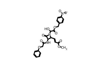 COC(=O)C=CC1C(NC(=O)COc2ccccc2)C(=O)N1C(O)C(=O)OCc1ccc([N+](=O)[O-])cc1